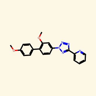 COc1ccc(-c2ccc(-n3nnc(-c4ccccn4)n3)cc2OC)cc1